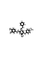 COc1ncc(Cc2cn(CCc3ccccc3)c(SCc3ccc(F)c(F)c3)nc2=O)cn1